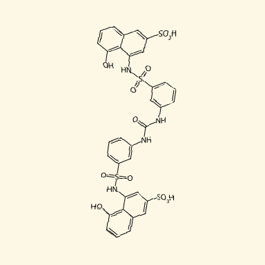 O=C(Nc1cccc(S(=O)(=O)Nc2cc(S(=O)(=O)O)cc3cccc(O)c23)c1)Nc1cccc(S(=O)(=O)Nc2cc(S(=O)(=O)O)cc3cccc(O)c23)c1